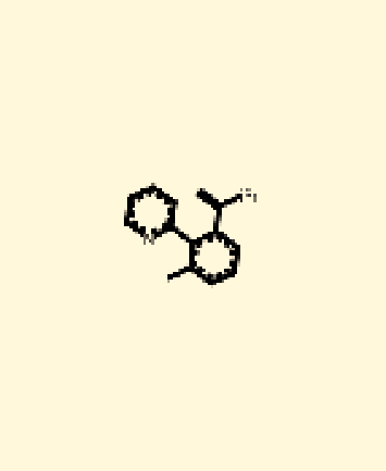 C=C(c1cccc(C)c1-c1ccccn1)C(C)C